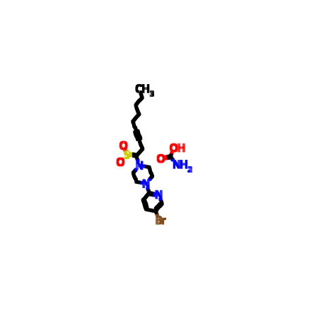 CCCCCC#CCC(N1CCN(c2ccc(Br)cn2)CC1)=S(=O)=O.NC(=O)O